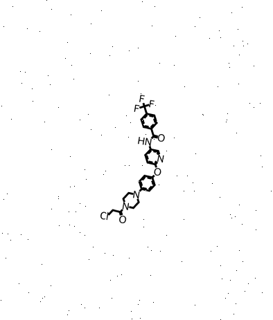 O=C(Nc1ccc(Oc2ccc(N3CCN(C(=O)CCl)CC3)cc2)nc1)c1ccc(C(F)(F)F)cc1